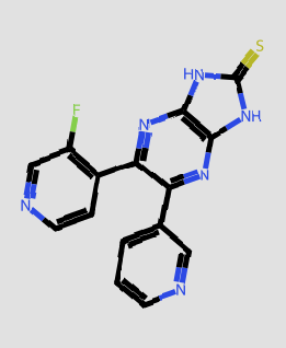 Fc1cnccc1-c1nc2[nH]c(=S)[nH]c2nc1-c1cccnc1